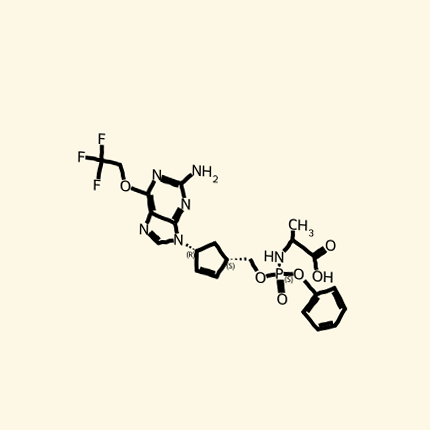 CC(N[P@](=O)(OC[C@@H]1C=C[C@H](n2cnc3c(OCC(F)(F)F)nc(N)nc32)C1)Oc1ccccc1)C(=O)O